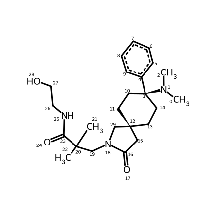 CN(C)[C@]1(c2ccccc2)CC[C@@]2(CC1)CC(=O)N(CC(C)(C)C(=O)NCCO)C2